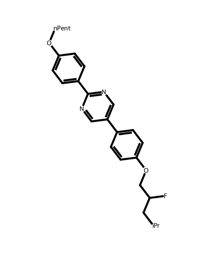 CCCCCOc1ccc(-c2ncc(-c3ccc(OCC(F)CC(C)C)cc3)cn2)cc1